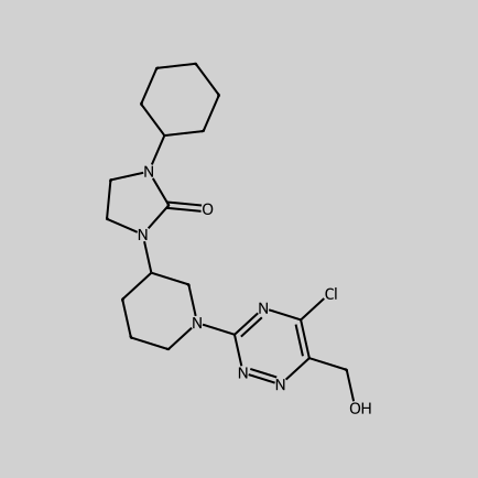 O=C1N(C2CCCCC2)CCN1C1CCCN(c2nnc(CO)c(Cl)n2)C1